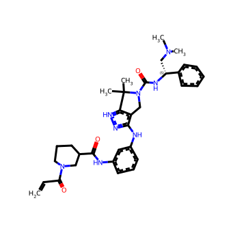 C=CC(=O)N1CCCC(C(=O)Nc2cccc(Nc3n[nH]c4c3CN(C(=O)N[C@H](CN(C)C)c3ccccc3)C4(C)C)c2)C1